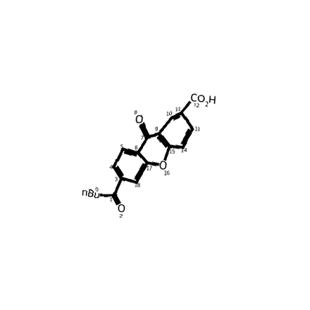 CCCCC(=O)c1ccc2c(=O)c3cc(C(=O)O)ccc3oc2c1